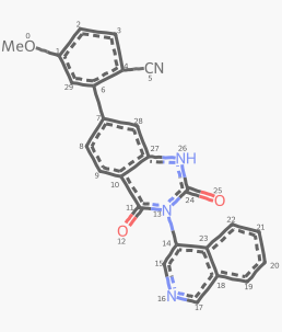 COc1ccc(C#N)c(-c2ccc3c(=O)n(-c4cncc5ccccc45)c(=O)[nH]c3c2)c1